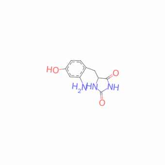 Nc1cc(O)ccc1CC1NC(=O)NC1=O